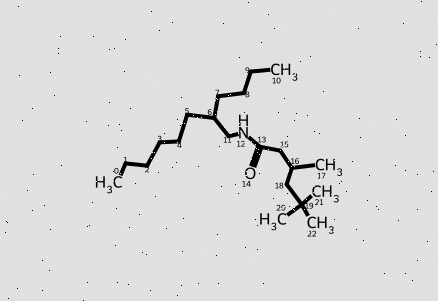 CCCCCCC(CCCC)CNC(=O)CC(C)CC(C)(C)C